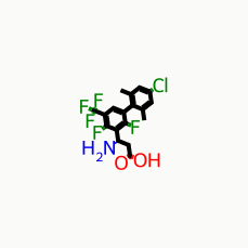 Cc1cc(Cl)cc(C)c1-c1cc(C(F)(F)F)c(F)c([C@@H](N)CC(=O)O)c1F